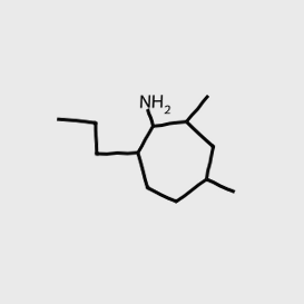 CCCC1CCC(C)CC(C)C1N